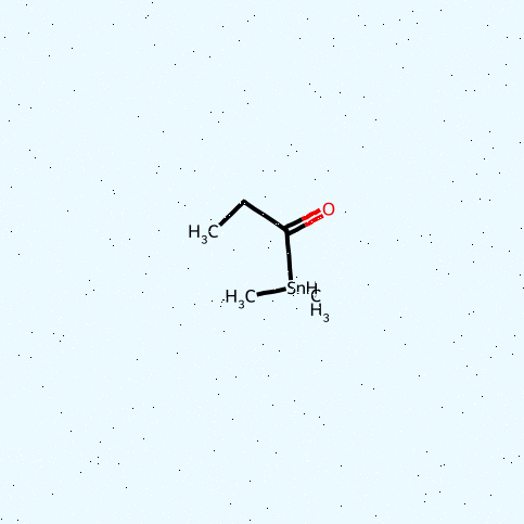 CC[C](=O)[SnH]([CH3])[CH3]